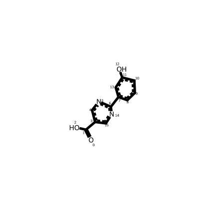 O=C(O)c1cnc(-c2cccc(O)c2)nc1